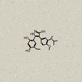 CCc1cc(-c2[nH]nc(S)c2-c2ccc(OC)c(N(C)C(C)C)c2)c(O)cc1O